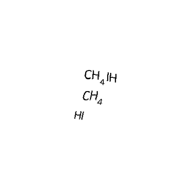 C.C.I.I